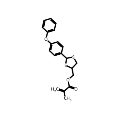 C=C(C)C(=O)OCC1CSC(c2ccc(Oc3ccccc3)cc2)S1